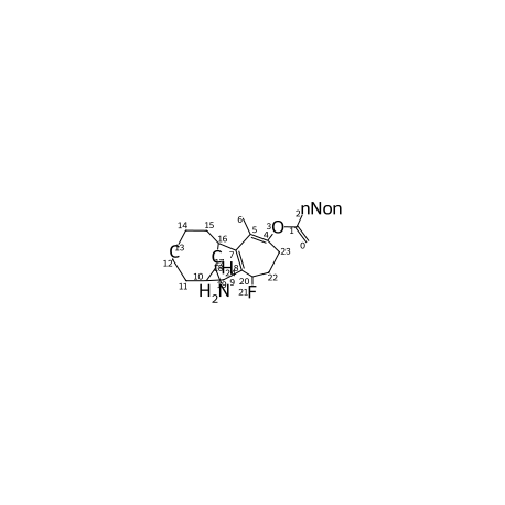 C=C(CCCCCCCCC)OC1=C(C)C2=C(CC3CCCCCC2C[C@H]3N)C(F)CC1